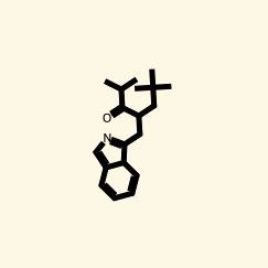 CC(C)C(=O)C(CC1=NC=C2C=CC=CC21)CC(C)(C)C